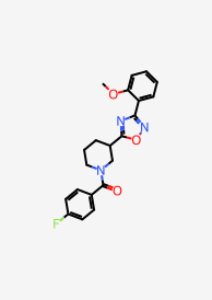 COc1ccccc1-c1noc(C2CCCN(C(=O)c3ccc(F)cc3)C2)n1